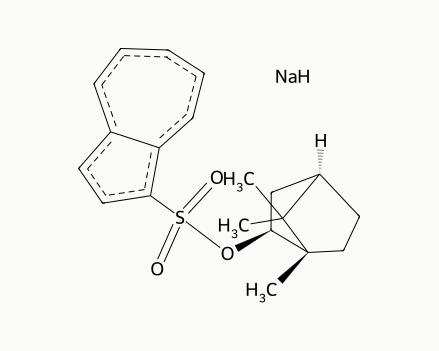 CC1(C)[C@@H]2CC[C@]1(C)[C@@H](OS(=O)(=O)c1ccc3cccccc1-3)C2.[NaH]